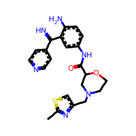 Cc1nc(CN2CCOC(C(=O)Nc3ccc(N)c(C(=N)c4ccncc4)c3)C2)cs1